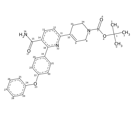 CC(C)(C)OC(=O)N1CC=C(c2ccc(C(N)=O)c(-c3ccc(Oc4ccccc4)cc3)n2)CC1